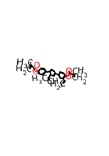 C=Cc1cc(-c2ccc(-c3ccc(OC(=O)C(=C)C)cc3)c(C(=C)C)c2)ccc1OC(=O)C(=C)C